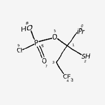 CC(C)C(S)(CC(F)(F)F)OP(=O)(O)Cl